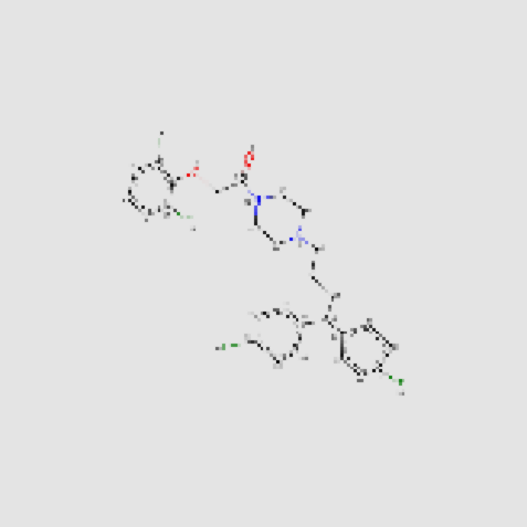 O=C(COc1c(F)cccc1F)N1CCN(CCCC(c2ccc(F)cc2)c2ccc(F)cc2)CC1